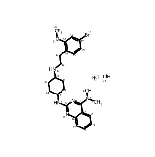 CN(C)c1nc(NC2CCC(NCCc3ccc(Br)cc3OC(F)(F)F)CC2)nc2ccccc12.Cl.Cl